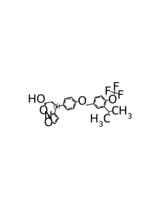 CC(C)c1cc(COc2ccc([C@H](CC(=O)O)c3ccon3)cc2)ccc1OC(F)(F)F